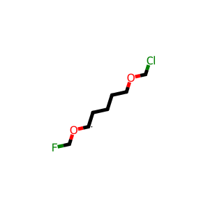 FCO[CH]CCCCOCCl